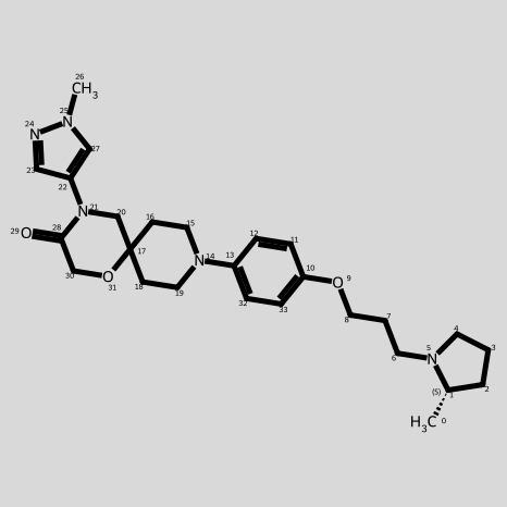 C[C@H]1CCCN1CCCOc1ccc(N2CCC3(CC2)CN(c2cnn(C)c2)C(=O)CO3)cc1